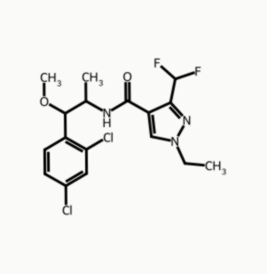 CCn1cc(C(=O)NC(C)C(OC)c2ccc(Cl)cc2Cl)c(C(F)F)n1